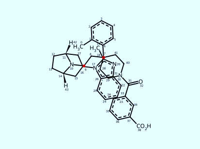 Cc1ccccc1C1(CCN2[C@@H]3CC[C@H]2CC(n2c(C)nc4ccccc42)C3)CCN(C(=O)c2cccc(C(=O)O)c2)CC1